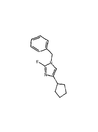 Fc1nc(C2CCCC2)cn1Cc1ccccc1